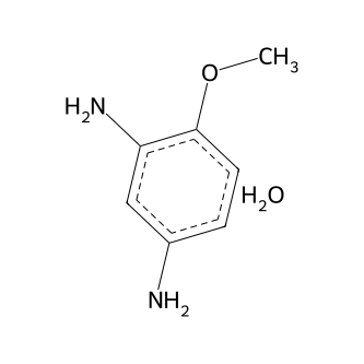 COc1ccc(N)cc1N.O